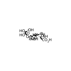 CC[C@H](C)[C@H](C[C@@H](CC(=O)O)OS)NC(=O)C[C@H](C[C@H](O[C@@H]1O[C@@H](CO)C(O)C1O)[C@@H](C)CC)OS